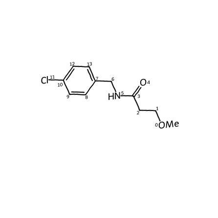 COCCC(=O)NCc1ccc(Cl)cc1